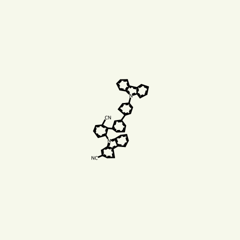 N#Cc1ccc2c3ccccc3n(-c3cccc(C#N)c3-c3cccc(-c4ccc(-n5c6ccccc6c6ccccc65)cc4)c3)c2c1